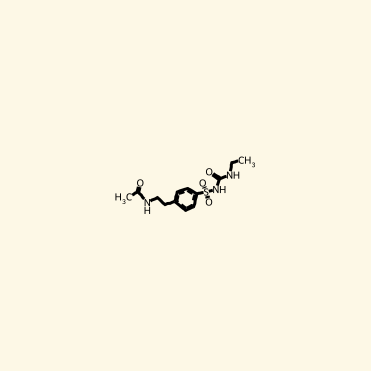 CCNC(=O)NS(=O)(=O)c1ccc(CCNC(C)=O)cc1